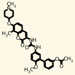 COc1ccc(NC(=O)Nc2cc3ccc(OC4CCN(C)CC4)c(C)c3oc2=O)cc1-c1cccc(OC(C)=O)c1